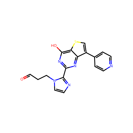 O=CCCn1ccnc1-c1nc(O)c2scc(-c3ccncc3)c2n1